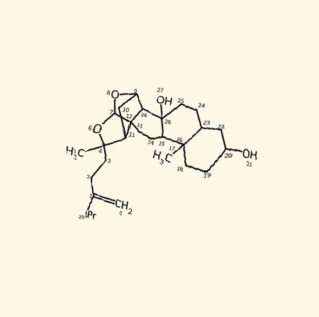 C=C(CCC1(C)OC2OC3CC1C21CCC2C4(C)CCC(O)CC4CCC2(O)C31)C(C)C